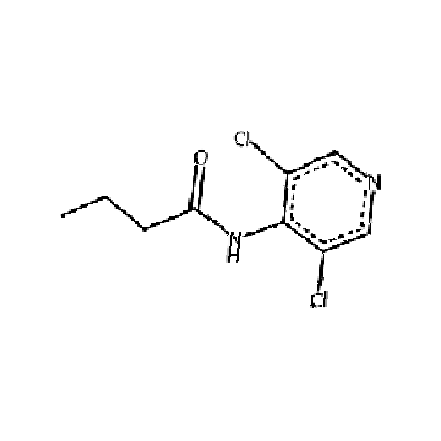 CCCC(=O)Nc1c(Cl)cncc1Cl